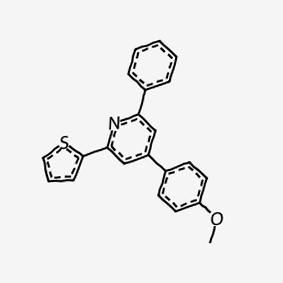 COc1ccc(-c2cc(-c3ccccc3)nc(-c3cccs3)c2)cc1